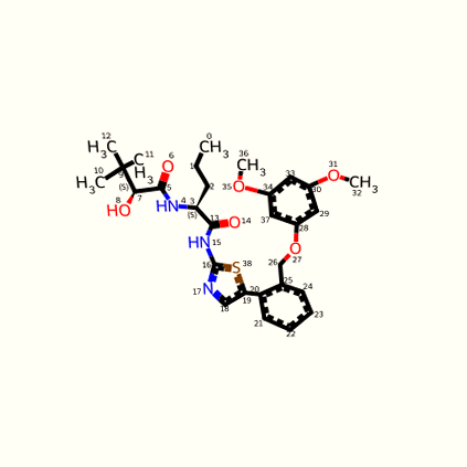 CCC[C@H](NC(=O)[C@@H](O)C(C)(C)C)C(=O)Nc1ncc(-c2ccccc2COc2cc(OC)cc(OC)c2)s1